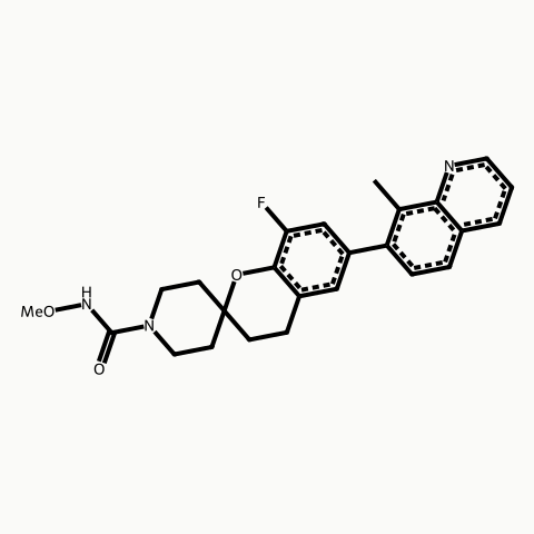 CONC(=O)N1CCC2(CCc3cc(-c4ccc5cccnc5c4C)cc(F)c3O2)CC1